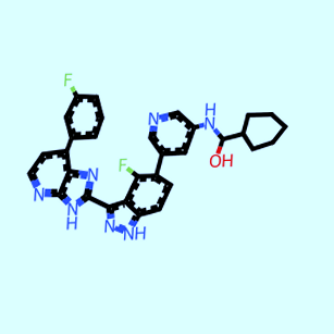 OC(Nc1cncc(-c2ccc3[nH]nc(-c4nc5c(-c6cccc(F)c6)ccnc5[nH]4)c3c2F)c1)C1CCCCC1